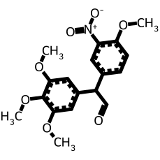 COc1ccc(C(C=O)c2cc(OC)c(OC)c(OC)c2)cc1[N+](=O)[O-]